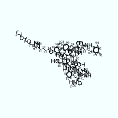 CCCOCCOCc1cn(CCCCOc2ccc(-c3ccc(CC(NC(=O)[C@H](CC(=O)O)NC(=O)[C@H](CO)NC(=O)C(NC(=O)[C@](C)(Cc4ccccc4F)NC(=O)C(Cc4nn[nH]n4)NC(=O)C(C)(C)C(=O)NCC)[C@@H](C)O)C(=O)NC(CCCc4cc(C)cc(C)c4)C(N)=O)cc3)c(CC)c2)nn1